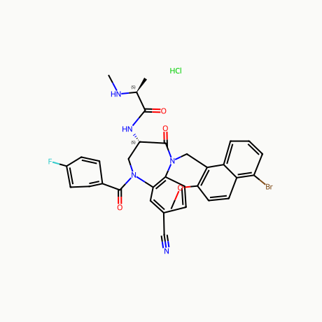 CN[C@@H](C)C(=O)N[C@H]1CN(C(=O)c2ccc(F)cc2)c2cc(C#N)ccc2N(Cc2c(OC)ccc3c(Br)cccc23)C1=O.Cl